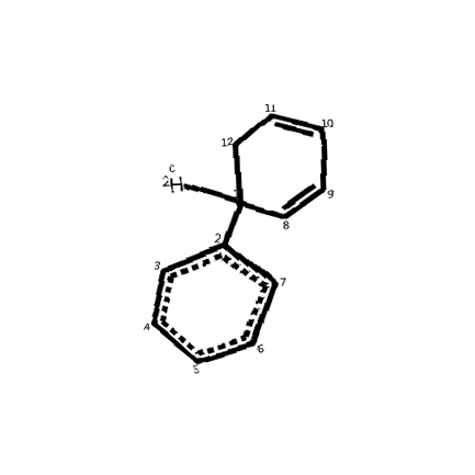 [2H]C1(c2ccccc2)C=CC=CC1